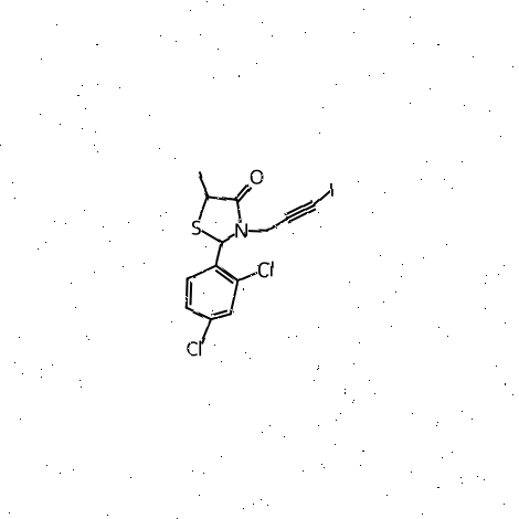 CC1SC(c2ccc(Cl)cc2Cl)N(CC#CI)C1=O